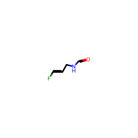 O=[C]NCC=CF